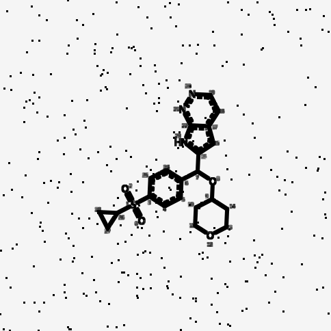 O=S(=O)(c1ccc(C(OC2CCOCC2)c2cc3ccnnc3[nH]2)cc1)C1CC1